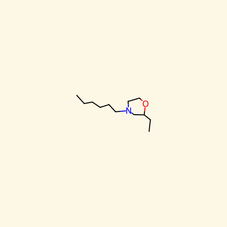 CCCCCCN1CCOC(CC)C1